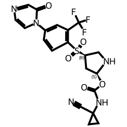 N#CC1(NC(=O)O[C@H]2C[C@@H](S(=O)(=O)c3ccc(-n4ccncc4=O)cc3C(F)(F)F)CN2)CC1